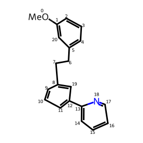 COc1cccc(CCc2cccc(-c3ccccn3)c2)c1